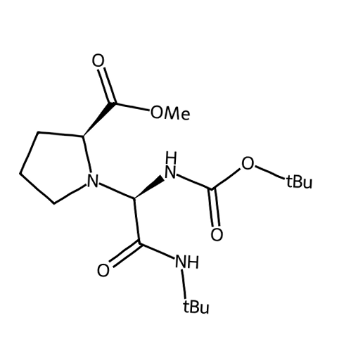 COC(=O)[C@@H]1CCCN1[C@@H](NC(=O)OC(C)(C)C)C(=O)NC(C)(C)C